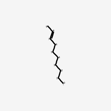 [CH2]CCCCCCC=CC